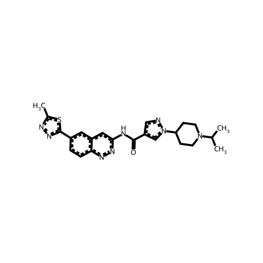 Cc1nnc(-c2ccc3nnc(NC(=O)c4cnn(C5CCN(C(C)C)CC5)c4)cc3c2)s1